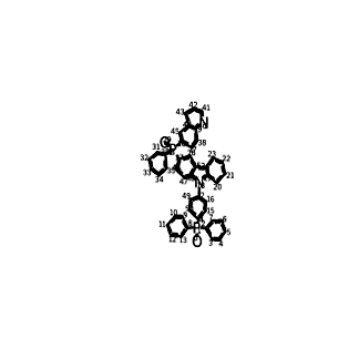 O=P(c1ccccc1)(c1ccccc1)c1ccc(-n2c3ccccc3c3cc(P(=O)(c4ccccc4)c4ccc5ncccc5c4)ccc32)cc1